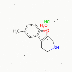 Cc1ccc2oc3c(c2c1)CCNC3.Cl.O